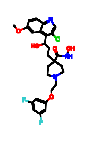 COc1ccc2ncc(Cl)c([C@H](O)CCC3(C(=O)NO)CCN(CCOc4cc(F)cc(F)c4)CC3)c2c1